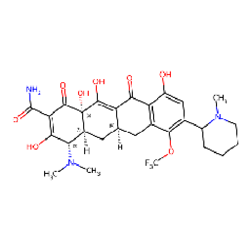 CN1CCCCC1c1cc(O)c2c(c1OC(F)(F)F)C[C@H]1C[C@H]3[C@H](N(C)C)C(O)=C(C(N)=O)C(=O)[C@@]3(O)C(O)=C1C2=O